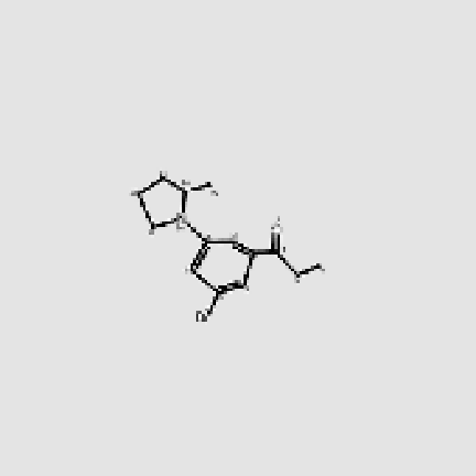 CCC(=O)c1cc(Br)cc(N2CCC[C@H]2C)c1